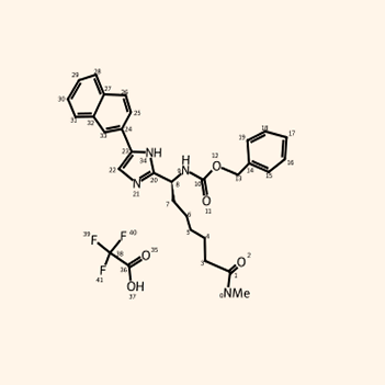 CNC(=O)CCCCC[C@H](NC(=O)OCc1ccccc1)c1ncc(-c2ccc3ccccc3c2)[nH]1.O=C(O)C(F)(F)F